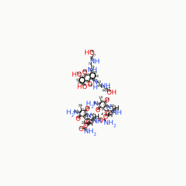 CO[C@@]12[C@H](COC(N)=O)C3=C(C(=O)C(C)=C(N)C3=O)N1C[C@@H]1N[C@@H]12.CO[C@@]12[C@H](COC(N)=O)C3=C(C(=O)C(C)=C(N)C3=O)N1C[C@@H]1N[C@@H]12.O=C1c2c(O)ccc(O)c2C(=O)c2c(NCCNCCO)ccc(NCCNCCO)c21